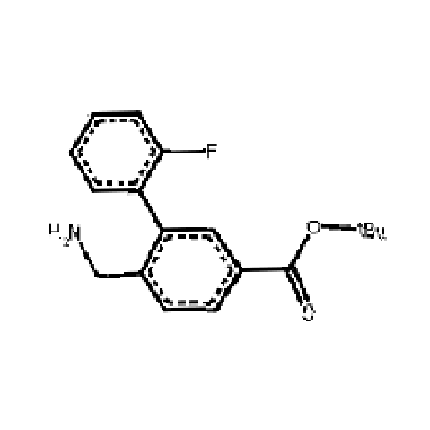 CC(C)(C)OC(=O)c1ccc(CN)c(-c2cc[c]cc2F)c1